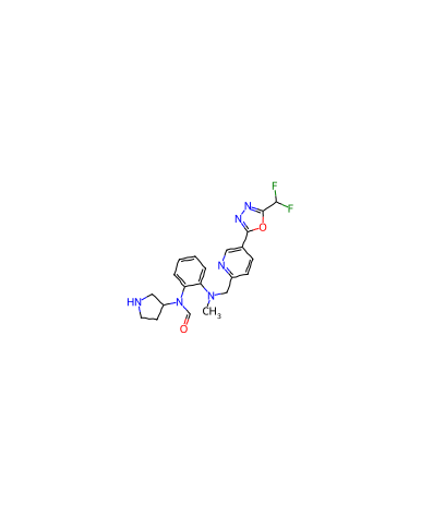 CN(Cc1ccc(-c2nnc(C(F)F)o2)cn1)c1ccccc1N(C=O)C1CCNC1